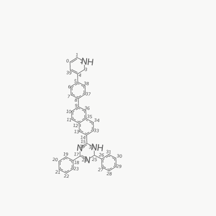 C1=CNCC(c2ccc(-c3ccc4cc(C5=NC(c6ccccc6)=NC(c6ccccc6)N5)ccc4c3)cc2)=C1